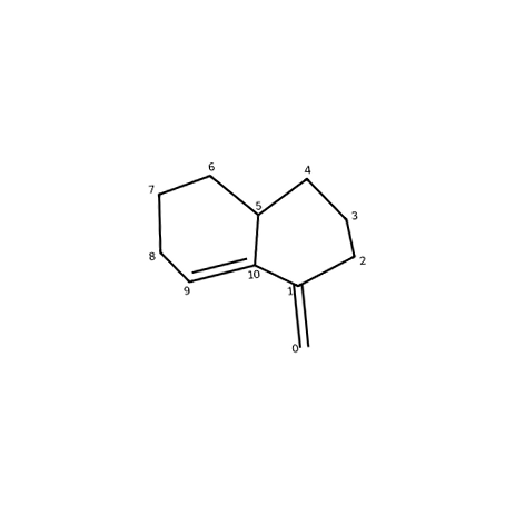 C=C1CCCC2CCCC=C12